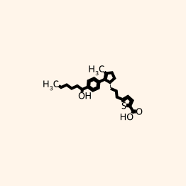 CCCCCC(O)c1ccc(C2=C(C)CC[C@@H]2CCCc2ccc(C(=O)O)s2)cc1